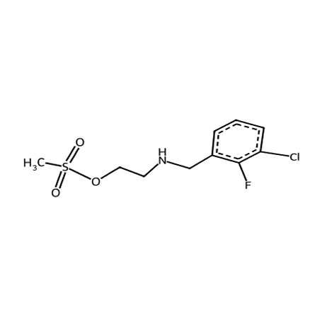 CS(=O)(=O)OCCNCc1cccc(Cl)c1F